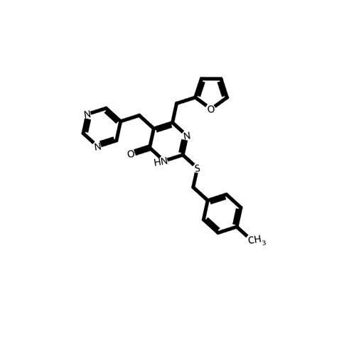 Cc1ccc(CSc2nc(Cc3ccco3)c(Cc3cncnc3)c(=O)[nH]2)cc1